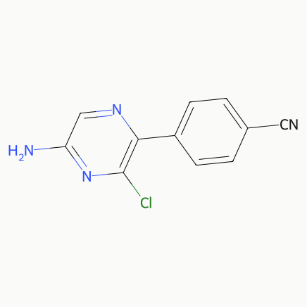 N#Cc1ccc(-c2ncc(N)nc2Cl)cc1